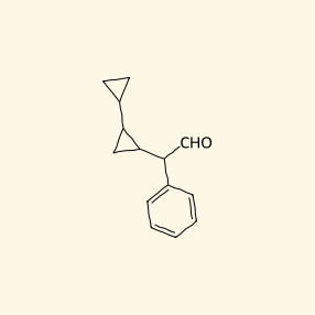 O=CC(c1ccccc1)C1CC1C1CC1